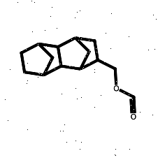 O=COCC1CC2CC1C1C3CCC(C3)C21